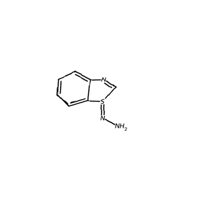 NN=S1C=Nc2ccccc21